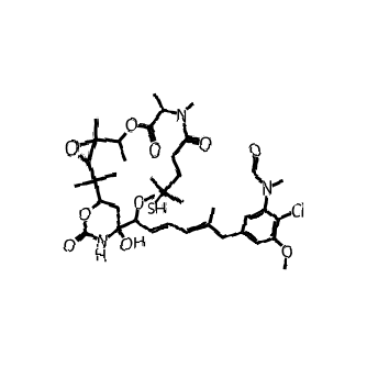 COc1cc(C/C(C)=C/C=C/C(OC)C2(O)CC(C(C)(C)C3OC3(C)C(C)OC(=O)C(C)N(C)C(=O)CCC(C)(C)S)OC(=O)N2)cc(N(C)C=O)c1Cl